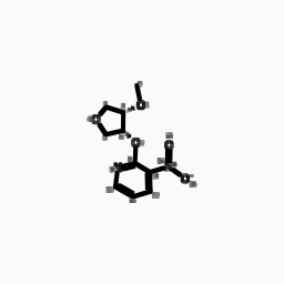 CO[C@H]1COC[C@H]1Oc1ncccc1[N+](=O)[O-]